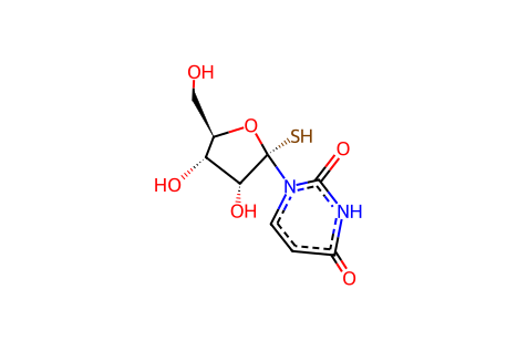 O=c1ccn([C@]2(S)O[C@H](CO)[C@@H](O)[C@H]2O)c(=O)[nH]1